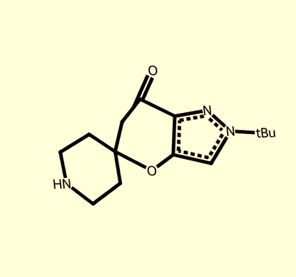 CC(C)(C)n1cc2c(n1)C(=O)CC1(CCNCC1)O2